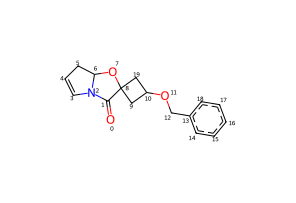 O=C1N2C=CCC2OC12CC(OCc1ccccc1)C2